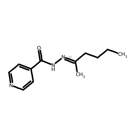 CCCC/C(C)=N/NC(=O)c1ccncc1